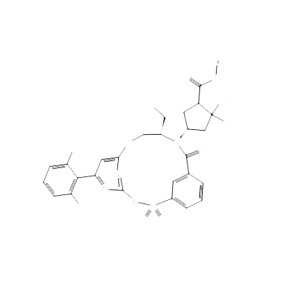 Cc1cccc(C)c1-c1cc2nc(n1)NS(=O)(=O)c1cccc(c1)C(=O)N([C@H]1CC(C(=O)OC(C)C)C(C)(C)C1)[C@H](CC(C)C)CO2